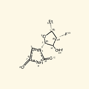 CC[C@H]1O[C@@H](n2ccc(=O)[nH]c2=O)C(O)[C@H]1F